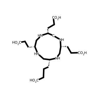 O=C(O)CCC[C@@H]1CN[C@H](CCC(=O)O)CN[C@H](CCC(=O)O)CN[C@H](CCC(=O)O)CN1